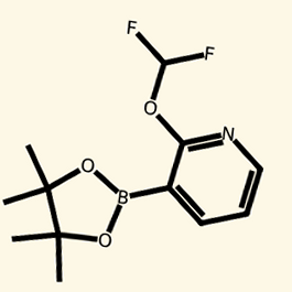 CC1(C)OB(c2cccnc2OC(F)F)OC1(C)C